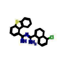 N=C(/N=C(\N)C1=CCCC2C1=CC=CC2Cl)C1=CC=CC2SC3=C(CCC=C3)C12